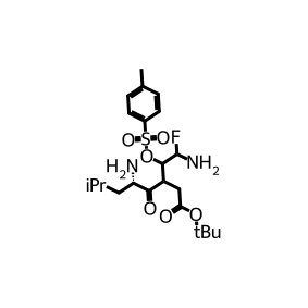 Cc1ccc(S(=O)(=O)OC(C(N)F)C(CC(=O)OC(C)(C)C)C(=O)[C@@H](N)CC(C)C)cc1